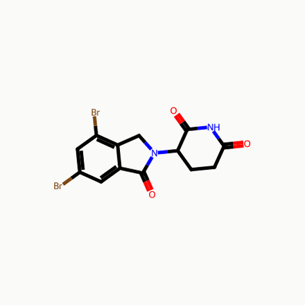 O=C1CCC(N2Cc3c(Br)cc(Br)cc3C2=O)C(=O)N1